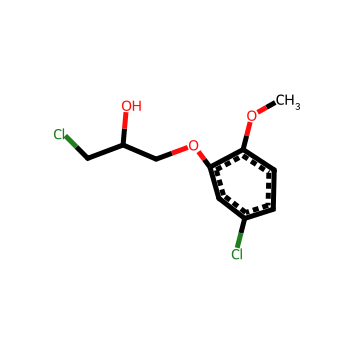 COc1ccc(Cl)cc1OCC(O)CCl